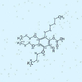 CCCCCCc1c(OC(=O)O)c(O)c(OCCC)c(OCCC)c1OCCC